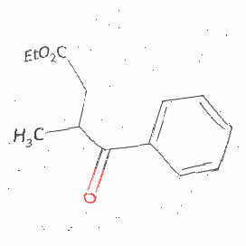 CCOC(=O)CC(C)C(=O)c1ccccc1